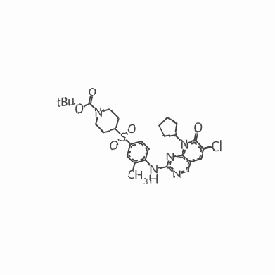 Cc1cc(S(=O)(=O)C2CCN(C(=O)OC(C)(C)C)CC2)ccc1Nc1ncc2cc(Cl)c(=O)n(C3CCCC3)c2n1